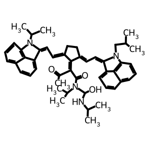 CC(=O)/C(C(=O)N(C(C)C)C(O)NC(C)C)=C1C(=C/C=c2\c3cccc4cccc(c43)n2CC(C)C)/CCC/1=C\C=c1/c2cccc3cccc(c32)n1C(C)C